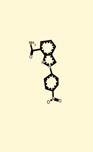 NC(=O)c1cccc2cn(-c3ccc([N+](=O)[O-])cc3)nc12